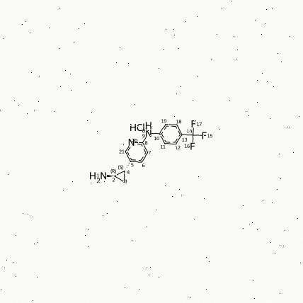 Cl.N[C@@H]1C[C@H]1c1ccc(Nc2ccc(C(F)(F)F)cc2)nc1